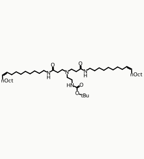 CCCCCCCC/C=C\CCCCCCCCNC(=O)CCN(CCNC(=O)OC(C)(C)C)CCC(=O)NCCCCCCCC/C=C\CCCCCCCC